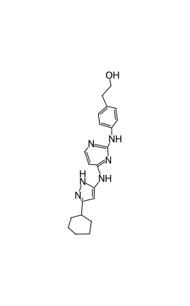 OCCc1ccc(Nc2nccc(Nc3cc(C4CCCCC4)n[nH]3)n2)cc1